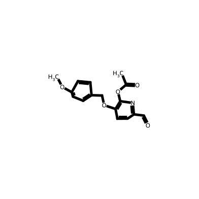 COc1ccc(COc2ccc(C=O)nc2OC(C)=O)cc1